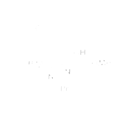 CCOC(=O)c1nc(Br)n(C(C)COC)c1C(O)c1ccc(Cl)cc1